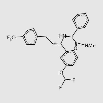 CNC(=O)[C@@H](N[C@@H](CCc1ccc(C(F)(F)F)cc1)c1cccc(OC(F)F)c1)c1ccccc1